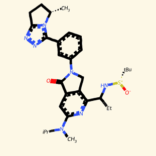 CCC(N[S@@+]([O-])C(C)(C)C)c1nc(N(C)C(C)C)cc2c1CN(c1cccc(-c3nnc4n3[C@@H](C)CC4)c1)C2=O